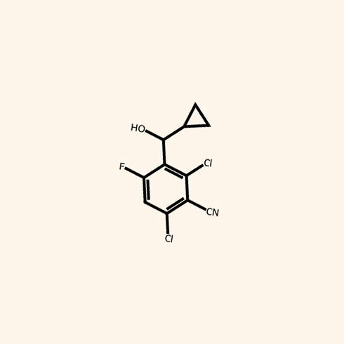 N#Cc1c(Cl)cc(F)c(C(O)C2CC2)c1Cl